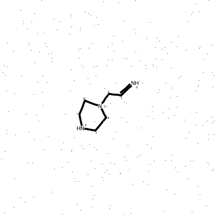 N=CCN1CCNCC1